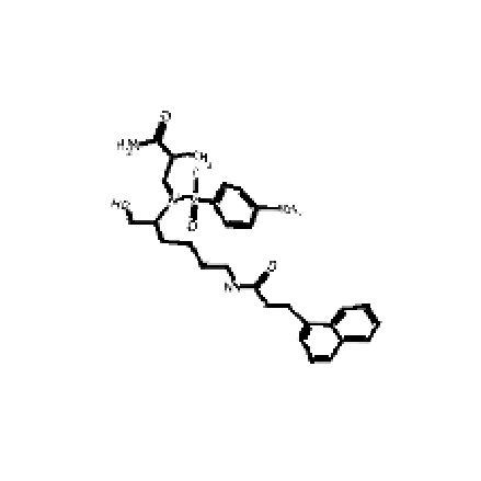 CC(CN(C(CO)CCCCNC(=O)[CH]Cc1cccc2ccccc12)S(=O)(=O)c1ccc(N)cc1)C(N)=O